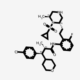 C[C@H](C(=O)Nc1cccc(F)c1CC[C@H]1CNC[C@H](C)N1S(=O)(=O)C1CC1)[C@H](c1ccc(Cl)cc1)C1CCOCC1